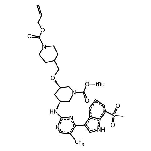 C=CCOC(=O)N1CCC(CO[C@@H]2C[C@H](Nc3ncc(C(F)(F)F)c(-c4c[nH]c5c(S(C)(=O)=O)cccc45)n3)CN(C(=O)OC(C)(C)C)C2)CC1